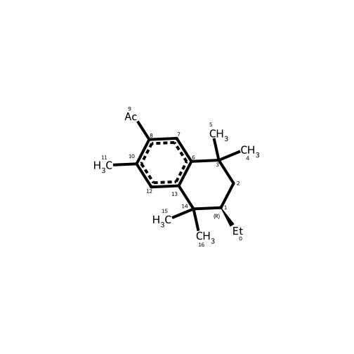 CC[C@@H]1CC(C)(C)c2cc(C(C)=O)c(C)cc2C1(C)C